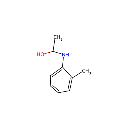 Cc1ccccc1NC(C)O